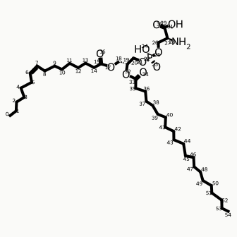 CCCCCC/C=C\CCCCCCCC(=O)OC[C@H](COP(=O)(O)OC[C@H](N)C(=O)O)OC(=O)CCCCCCCCCCCCCCCCCCCC